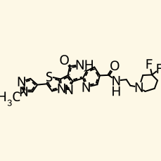 Cn1cc(-c2cn3nc4c5ncc(C(=O)NCCN6CCCC(F)(F)C6)cc5[nH]c(=O)c4c3s2)cn1